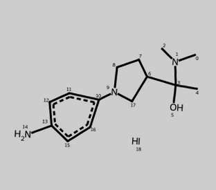 CN(C)C(C)(O)C1CCN(c2ccc(N)cc2)C1.I